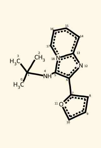 CC(C)(C)Nc1c(-c2ccco2)nc2ccccn12